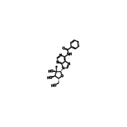 O=C(Nc1ncnc2c1ncn2[C@@H]1O[C@H](CO)[C@@H](O)[C@]1(O)F)c1ccccc1